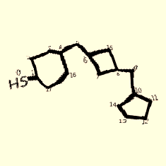 SC1CCC(CC2CC(CC3CCCC3)C2)CC1